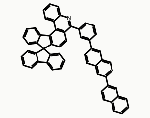 c1cc(-c2ccc3cc(-c4ccc5ccccc5c4)ccc3c2)cc(-c2nc3ccccc3c3c4c(ccc23)C2(c3ccccc3-c3ccccc32)c2ccccc2-4)c1